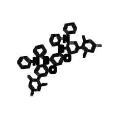 Cc1cc(C)c(-c2cc3c4c(c2)N(c2ccccc2)c2ccccc2B4c2cc4c(cc2O3)Oc2cc(-c3c(C)cc(C)cc3C)cc3c2B4c2ccccc2N3c2ccccc2)c(C)c1